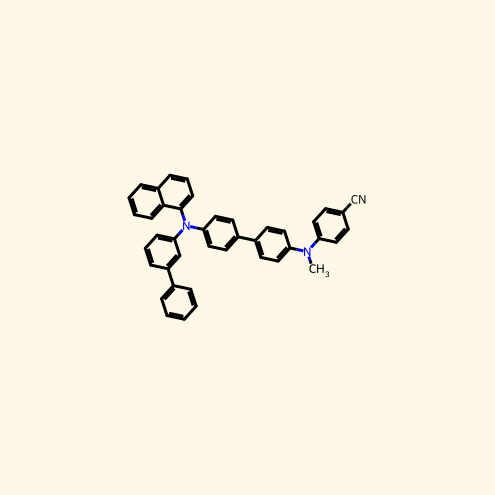 CN(c1ccc(C#N)cc1)c1ccc(-c2ccc(N(c3cccc(-c4ccccc4)c3)c3cccc4ccccc34)cc2)cc1